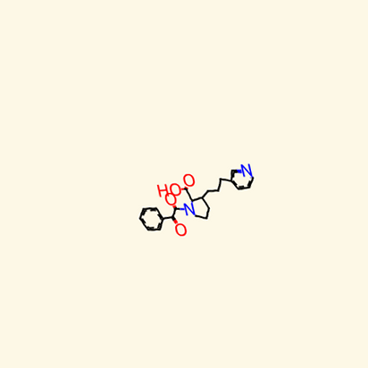 O=C(C(=O)N1CCCC(CCCc2cccnc2)C1C(=O)O)c1ccccc1